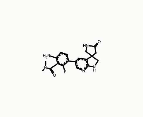 CN(C)C(=O)c1c(N)ccc(-c2cnc3c(c2)C2(CNC(=O)C2)CN3)c1F